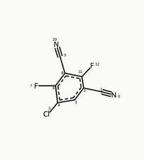 N#Cc1cc(Cl)c(F)c(C#N)c1F